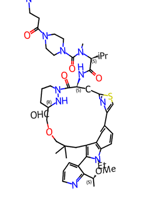 CCn1c(-c2cccnc2[C@H](C)OC)c2c3cc(ccc31)-c1csc(n1)C[C@H](NC(=O)[C@H](C(C)C)N(C)C(=O)N1CCN(C(=O)CCN(C)C)CC1)C(=O)N1CCC[C@](C=O)(COCC(C)(C)C2)N1